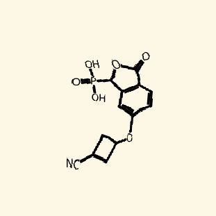 N#CC1CC(Oc2ccc3c(c2)C(P(=O)(O)O)OC3=O)C1